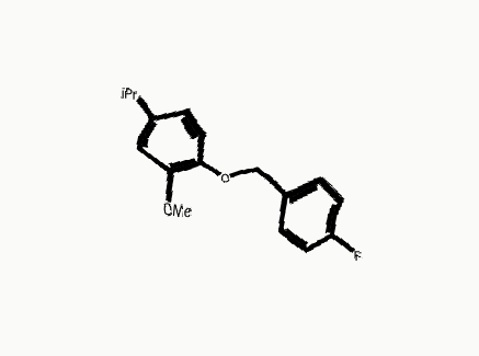 COc1cc(C(C)C)ccc1OCc1ccc(F)cc1